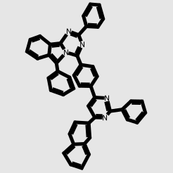 c1ccc(-c2nc(-c3ccc(-c4nc(-c5ccccc5)nc5c6ccccc6c(-c6ccccc6)n45)cc3)cc(-c3ccc4ccccc4c3)n2)cc1